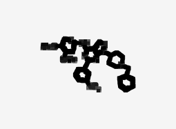 COc1ccc(Nc2nc(-c3cccc([N+](=O)[O-])c3)nc3c2cnn3C2CCN(Cc3ccccc3)CC2)cc1OC